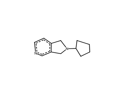 c1cc2c(cn1)CN(C1CCCC1)C2